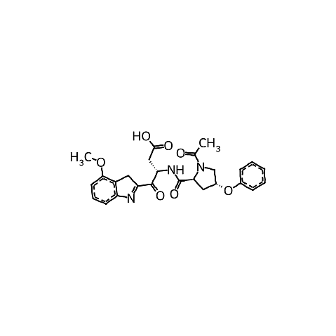 COc1cccc2c1CC(C(=O)[C@H](CC(=O)O)NC(=O)[C@@H]1C[C@@H](Oc3ccccc3)CN1C(C)=O)=N2